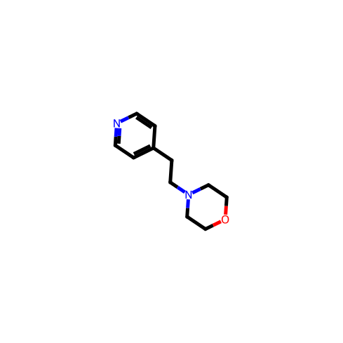 c1cc(CCN2CCOCC2)ccn1